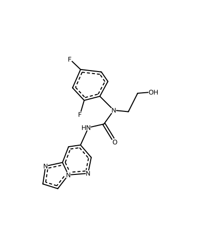 O=C(Nc1cnn2ccnc2c1)N(CCO)c1ccc(F)cc1F